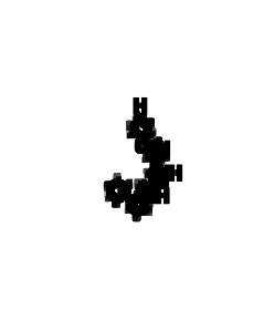 c1cc(N2CCCCC2)c2cc(-c3cc(-c4cncc(OC5CCNCC5)c4)[nH]n3)[nH]c2c1